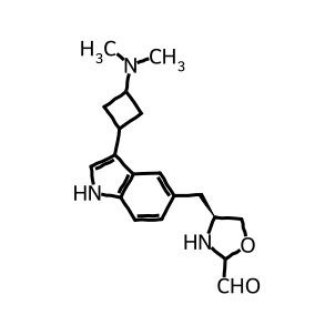 CN(C)C1CC(c2c[nH]c3ccc(C[C@H]4COC(C=O)N4)cc23)C1